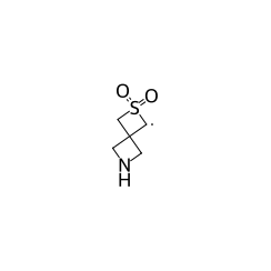 O=S1(=O)[CH]C2(CNC2)C1